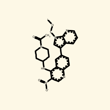 CC(=O)N1CCC(Nc2c([N+](=O)[O-])cnc3ccc(-c4cn(SOI)c5ncccc45)cc23)CC1